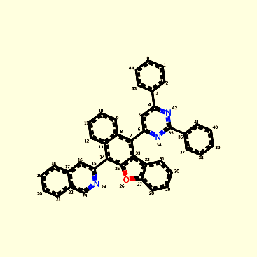 c1ccc(-c2cc(-c3c4ccccc4c(-c4cc5ccccc5cn4)c4oc5ccccc5c34)nc(-c3ccccc3)n2)cc1